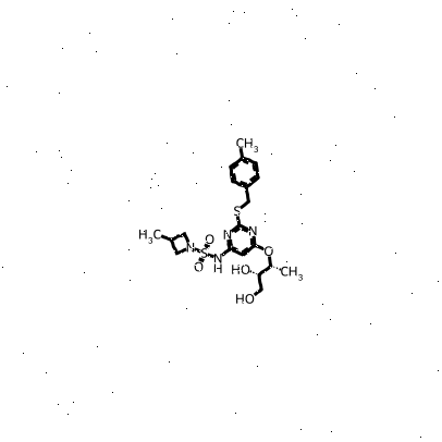 Cc1ccc(CSc2nc(NS(=O)(=O)N3CC(C)C3)cc(O[C@H](C)[C@@H](O)CO)n2)cc1